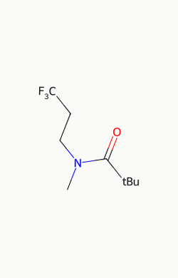 CN(CCC(F)(F)F)C(=O)C(C)(C)C